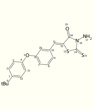 CC(C)(C)c1ccc(Oc2cccc(/C=C3\SC(=S)N(N)C3=O)c2)cc1